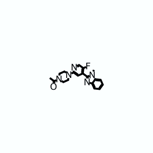 CC(=O)N1CCN(c2cc(-c3nc4ccccc4n3C)c(F)cn2)CC1